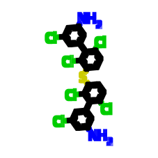 Nc1cc(Cl)cc(-c2c(Cl)ccc(Sc3ccc(Cl)c(-c4cc(N)cc(Cl)c4)c3Cl)c2Cl)c1